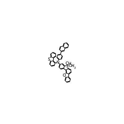 CS1(C)c2cc(N(c3ccc(-c4ccc5ccccc5c4)cc3)c3cccc4sc5ccccc5c34)ccc2-c2c1ccc1c2oc2ccccc21